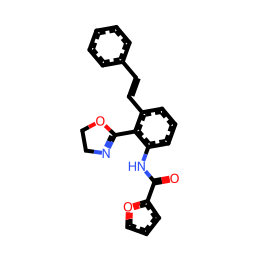 O=C(Nc1cccc(/C=C/c2ccccc2)c1C1=NCCO1)c1ccco1